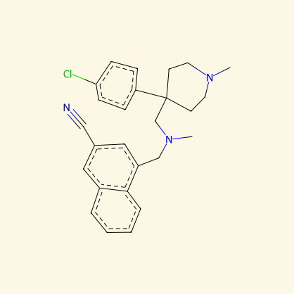 CN1CCC(CN(C)Cc2cc(C#N)cc3ccccc23)(c2ccc(Cl)cc2)CC1